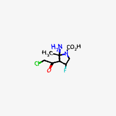 CC1(N)C(C(=O)CCl)C(F)CN1C(=O)O